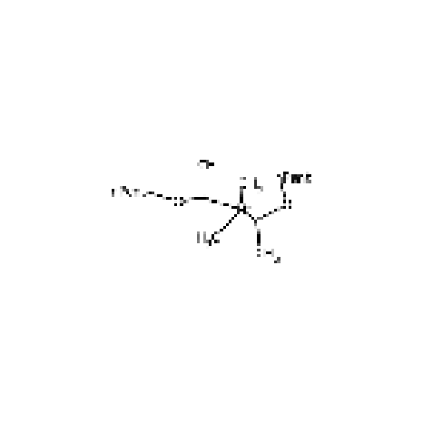 CCCCCOC(C)[N+](C)(C)C(C)OCCCCC